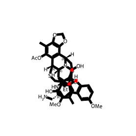 CCN1CC2(O)Cc3cc(C)c(OC)c(O)c3C1[C@@H]1[C@@H]3SC[C@]4(N[C@@H](CN)Cc5c4[nH]c4ccc(OC)cc54)C(=O)OC[C@@H](c4c5c(c(C)c(OC(C)=O)c43)OCO5)N12